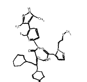 CSCCn1nccc1C(=O)N[C@H](C(=O)Nc1ccc(-c2c(C)n[nH]c2C)c(F)n1)C(C1CCCCC1)C1CCCCC1